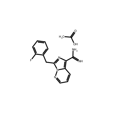 CC(=O)O.N=C(N)c1nc(Cc2ccccc2F)n2ncccc12